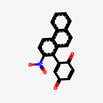 O=C1C=CC(=O)C(c2c([N+](=O)[O-])ccc3c2ccc2ccccc23)=C1